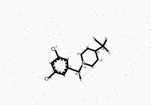 C[C@@H](c1cc(Cl)cc(Cl)c1)N1CCC(C(C)(C)C)CC1